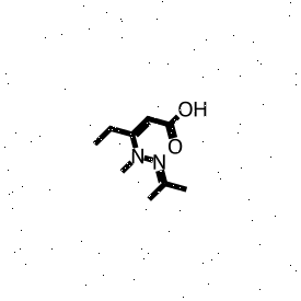 CC/C(=C/C(=O)O)N(C)N=C(C)C